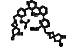 COc1nc(-c2cccc(-c3ccnc(-c4ccc(CN5CC6(CNC(=O)C6)C5)c(OC(F)F)c4)c3Cl)c2Cl)ccc1CN1CC2(CNC(=O)C2)C1